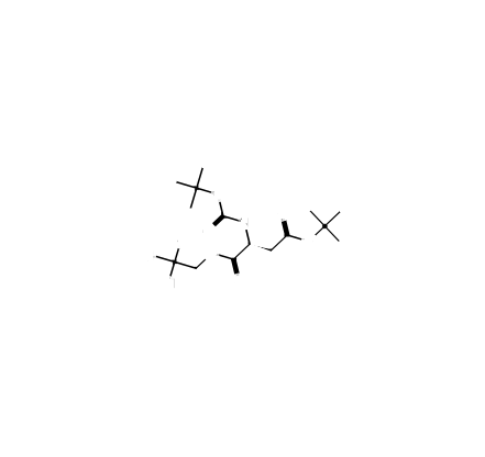 CC(C)(C)OC(=O)C[C@H](NC(=O)OC(C)(C)C)C(=O)OCC(Cl)(Cl)Cl